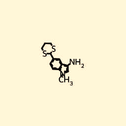 Cn1cc(N)c2cc(C3SCCCS3)ccc21